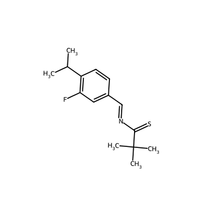 CC(C)c1ccc(/C=N/C(=S)C(C)(C)C)cc1F